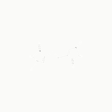 O=C1C=C(CCC2=CC(=O)NC2=O)C(=O)N1